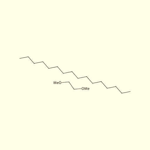 CCCCCCCCCCCCCCCC.COCCOC